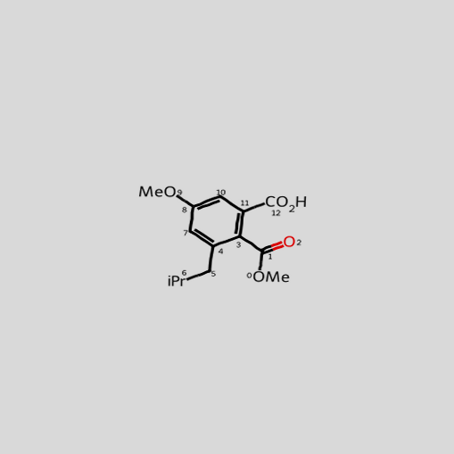 COC(=O)c1c(CC(C)C)cc(OC)cc1C(=O)O